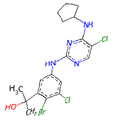 CC(C)(O)c1cc(Nc2ncc(Cl)c(NC3CCCC3)n2)cc(Cl)c1Br